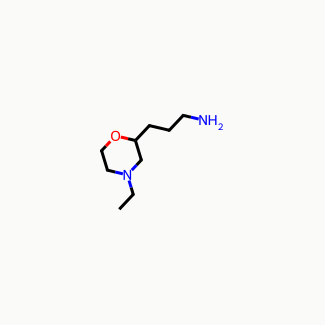 CCN1CCOC(CCCN)C1